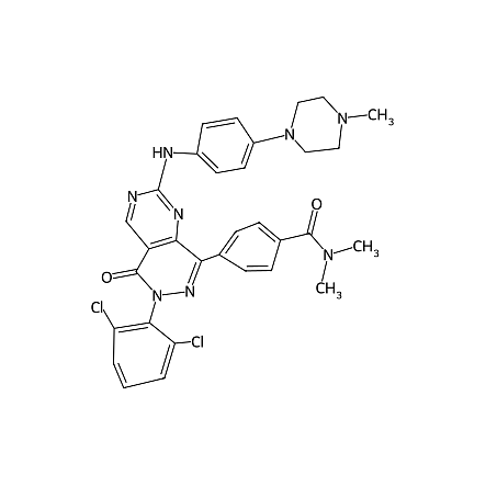 CN1CCN(c2ccc(Nc3ncc4c(=O)n(-c5c(Cl)cccc5Cl)nc(-c5ccc(C(=O)N(C)C)cc5)c4n3)cc2)CC1